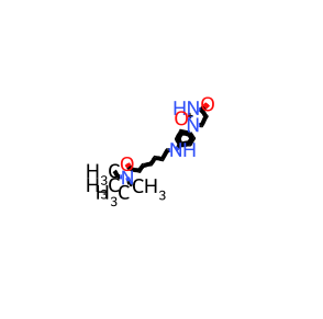 CC(C)N(C(=O)CCCCCCNc1ccc(N2CCC(=O)NC2=O)cc1)C(C)C